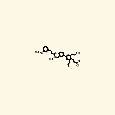 CCCc1cc(-c2cccc(CN(C)C(=O)CCc3cccc(OC)c3)c2)cc(CCC)c1CCC(=O)O